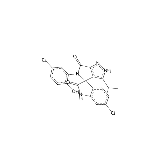 CC(C)c1[nH]nc2c1C1(C(=O)Nc3cc(Cl)ccc31)N(c1cc(Cl)ccc1O)C2=O